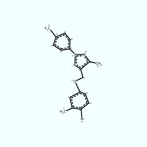 Cc1cc(OCc2nn(-c3ccc(C(F)(F)F)cc3)nc2C)ccc1Br